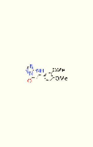 COc1ccc(-c2cc(=O)n3ncnc3[nH]2)cc1OC